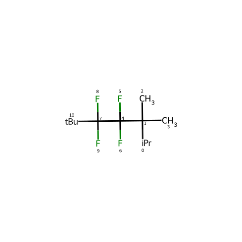 CC(C)C(C)(C)C(F)(F)C(F)(F)C(C)(C)C